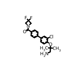 CC(C)(CN)Oc1ccc(-c2ccc(C(=O)N3CC(F)(F)C3)cc2)cc1Cl